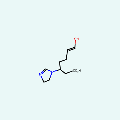 O=C(O)CC(CCC=CO)N1C=NCC1